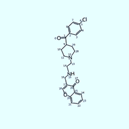 O=C(c1ccc(Cl)cc1)C1CCN(CCNCc2coc3ccccc3c2=O)CC1